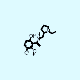 C=C(NCC1CCCN1CC)c1c(O)ccc(Cl)c1OC